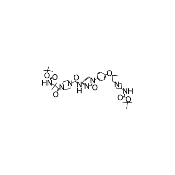 CC(CN1CC(NC(=O)OC(C)(C)C)C1)Oc1ccc(-n2ccc(NC(=O)N3CCN(C(=O)C(C)(C)NC(=O)OC(C)(C)C)CC3)nc2=O)cc1